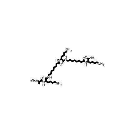 CCCCCCCCCC(C)C(=O)NC(CCCCN)C(=O)NCCCCCCCC(=O)NC(CCCCN)C(=O)NCCCCCCCC(=O)NC(CCCCN)C(N)=O